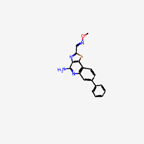 CON=Cc1nc2c(N)nc3cc(-c4ccccc4)ccc3c2s1